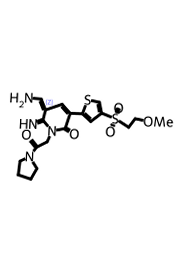 COCCS(=O)(=O)c1csc(C2=C/C(=C/N)C(=N)N(CC(=O)N3CCCC3)C2=O)c1